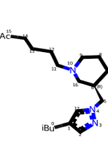 CCC(C)c1cnn(C[C@@H]2CCCN(CCCCC(C)=O)C2)c1